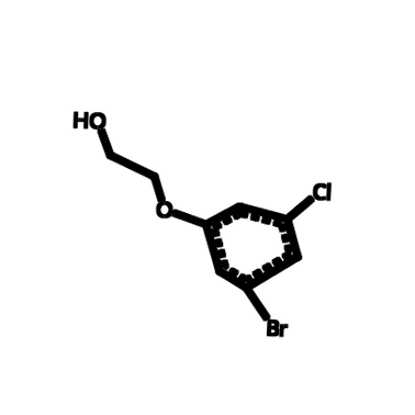 OCCOc1cc(Cl)cc(Br)c1